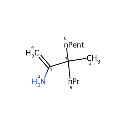 C=C(N)C(C)(CCC)CCCCC